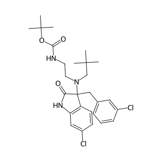 CC(C)(C)CN(CCNC(=O)OC(C)(C)C)C1(Cc2cccc(Cl)c2)C(=O)Nc2cc(Cl)ccc21